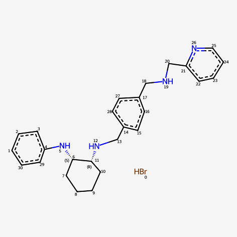 Br.c1ccc(N[C@H]2CCCC[C@H]2NCc2ccc(CNCc3ccccn3)cc2)cc1